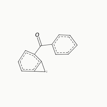 O=C(c1ccccc1)c1cccc2c1[C]2